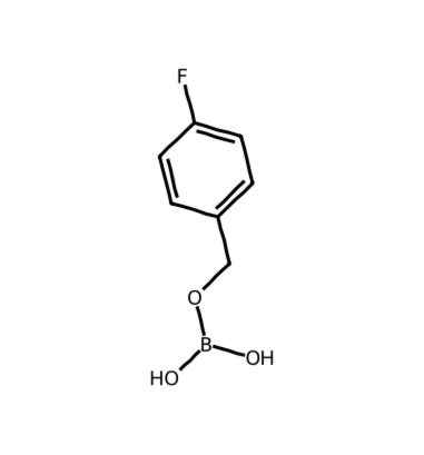 OB(O)OCc1ccc(F)cc1